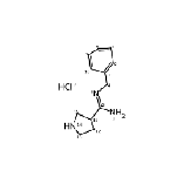 Cl.NC(=NCc1ccccc1)C1CCNC1